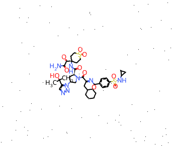 CC(C)(O)c1cnnn1[C@H]1C[C@@H](C(=O)NC2(C(=O)C(N)=O)CCS(=O)(=O)CC2)N(C(=O)/C(CC2CCCCC2)=N/C(=O)c2ccc(S(=O)(=O)NC3CC3)cc2)C1